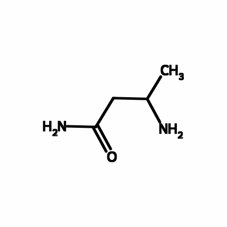 CC(N)CC(N)=O